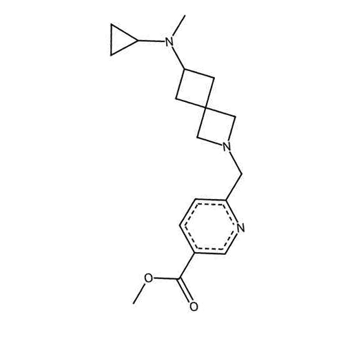 COC(=O)c1ccc(CN2CC3(CC(N(C)C4CC4)C3)C2)nc1